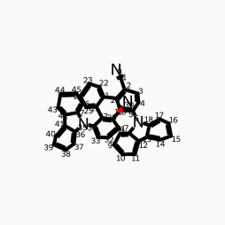 N#Cc1ccc(-n2c3ccccc3c3ccccc32)cc1-c1ccccc1-c1c(C#N)cccc1-n1c2ccccc2c2ccccc21